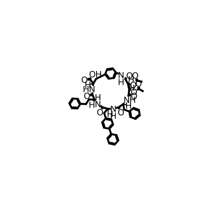 CC(=O)O[C@H]1C(=O)Nc2ccc(cc2)C[C@@H](C(=O)O)NC(=O)[C@@H](CCc2ccccc2)NC(=O)[C@H](Cc2ccc(-c3ccccc3)cc2)NC(=O)[C@@H](Cc2ccccc2)NC(=O)[C@@H]1OC(C)=O